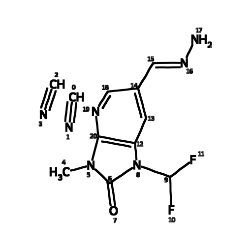 C#N.C#N.Cn1c(=O)n(C(F)F)c2cc(C=NN)cnc21